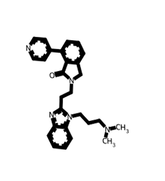 CN(C)CCCn1c(CCN2Cc3cccc(-c4ccncc4)c3C2=O)nc2ccccc21